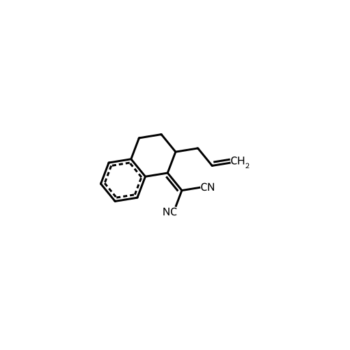 C=CCC1CCc2ccccc2C1=C(C#N)C#N